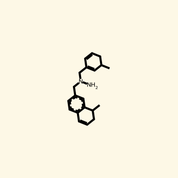 CC1C=C(CN(N)Cc2ccc3c(c2)C(C)CC=C3)C=CC1